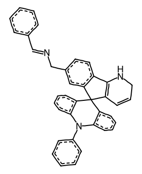 C1=CC2=C(NC1)c1ccc(C/N=C/c3ccccc3)cc1C21c2ccccc2N(c2ccccc2)c2ccccc21